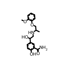 COc1ccccc1OCC(C)NCC(O)c1ccc(O)c(C(N)=O)c1